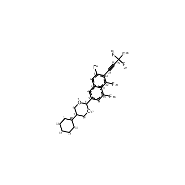 Fc1cc2cc(C3OCC(C4CCCCC4)CO3)cc(F)c2c(F)c1C#CC(F)(F)F